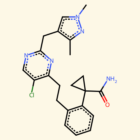 Cc1nn(C)cc1Cc1ncc(Cl)c(CCc2ccccc2C2(C(N)=O)CC2)n1